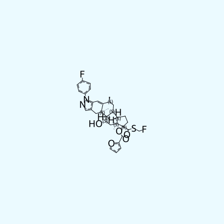 C[C@H]1C[C@@H]2[C@H]([C@@H](O)C[C@@]3(C)[C@H]2CC[C@]3(OC(=O)c2ccco2)C(=O)SCF)[C@@]2(C)Cc3cnn(-c4ccc(F)cc4)c3C=C12